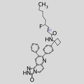 CCCCCC(F)/C=C/C(=O)NC1(c2ccc(-c3nc4ccn5c(=O)[nH]nc5c4cc3-c3ccccc3)cc2)CCC1